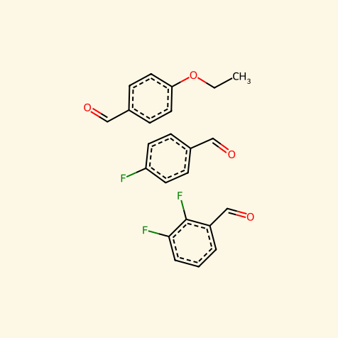 CCOc1ccc(C=O)cc1.O=Cc1ccc(F)cc1.O=Cc1cccc(F)c1F